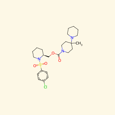 CC1(N2CCCCC2)CCN(C(=O)OC[C@@H]2CCCCN2S(=O)(=O)c2ccc(Cl)cc2)CC1